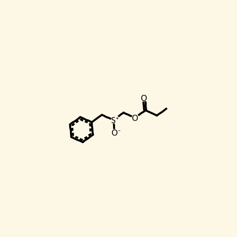 CCC(=O)OC[S+]([O-])Cc1ccccc1